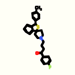 Cc1ccc(C2SC3(CCN(CCCC(=O)c4ccc(F)cc4)CC3)c3ccccc32)cc1